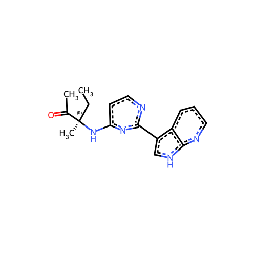 CC[C@@](C)(Nc1ccnc(-c2c[nH]c3ncccc23)n1)C(C)=O